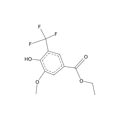 CCOC(=O)c1cc(OC)c(O)c(C(F)(F)F)c1